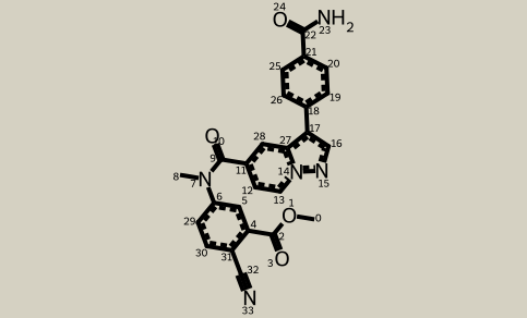 COC(=O)c1cc(N(C)C(=O)c2ccn3ncc(-c4ccc(C(N)=O)cc4)c3c2)ccc1C#N